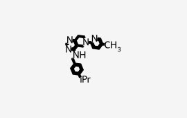 Cc1ccc(N2CCc3ncnc(NCc4ccc(C(C)C)cc4)c3C2)nc1